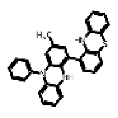 Cc1cc(-c2cccc3c2Nc2ccccc2S3)c2c(c1)N(c1ccccc1)c1ccccc1B2